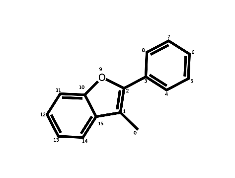 Cc1c(-c2ccccc2)oc2ccccc12